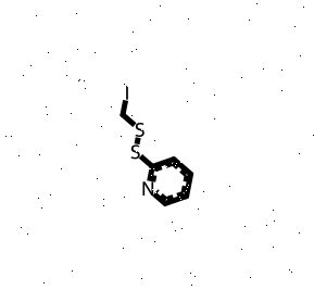 ICSSc1ccccn1